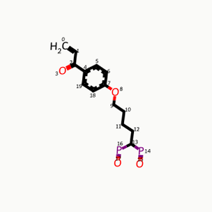 C=CC(=O)c1ccc(OCCCCC(P=O)P=O)cc1